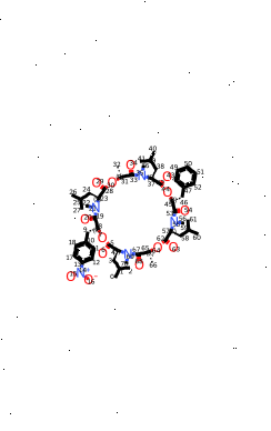 CC(C)C[C@H]1C(=O)O[C@H](Cc2ccc([N+](=O)[O-])cc2)C(=O)N(C)[C@@H](CC(C)C)C(=O)O[C@H](C)C(=O)N(C)[C@@H](CC(C)C)C(=O)O[C@H](Cc2ccccc2)C(=O)N(C)[C@@H](CC(C)C)C(=O)O[C@H](C)C(=O)N1C